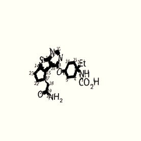 CCC1(NC(=O)O)CCC(Oc2ncnc3sc4c(c23)[C@@H](CC(N)=O)CC4)CC1